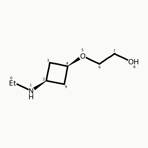 CCN[C@H]1C[C@@H](OCCO)C1